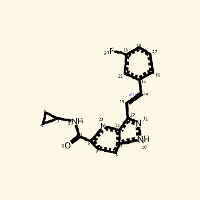 O=C(NC1CC1)c1ccc2[nH]nc(/C=C/c3cccc(F)c3)c2n1